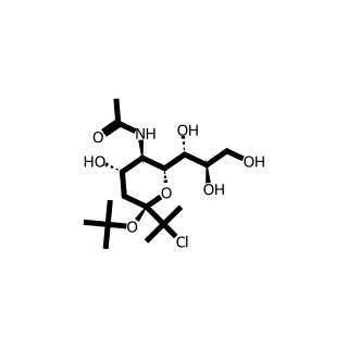 CC(=O)N[C@H]1[C@H]([C@H](O)[C@H](O)CO)O[C@](OC(C)(C)C)(C(C)(C)Cl)C[C@@H]1O